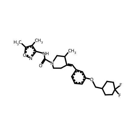 Cc1onc(NC(=O)N2CC/C(=C\c3cccc(OCC4CCC(F)(F)CC4)c3)C(C)C2)c1C